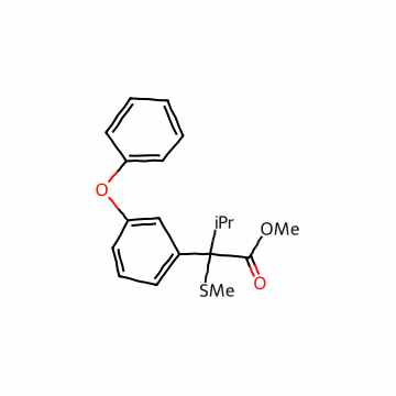 COC(=O)C(SC)(c1cccc(Oc2ccccc2)c1)C(C)C